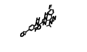 CC(C)n1cnc(-c2ccc(F)cc2)c1-c1nc(C(=O)Nc2ccc(C3COC3)cc2F)c[nH]1